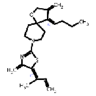 C=C/C(C)=c1\sc(N2CCC3(CC2)OCC(=C)/C3=C\CCC)nc1=C